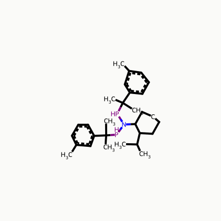 Cc1cccc(C(C)(C)PN(PC(C)(C)c2cccc(C)c2)C2CCCCC2C(C)C)c1